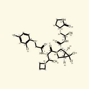 CC([C@H](NC(=O)COc1ccc(F)cc1Cl)C(=O)N1C[C@H]2[C@@H]([C@H]1C(=O)N[C@H](C#N)C[C@@H]1CCNC1=O)C2(Cl)Cl)N1CCC1